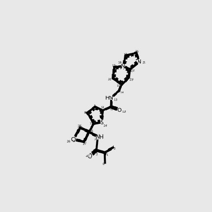 CC(C)C(=O)NC1(c2ccc(C(=O)NCc3ccn4ccnc4c3)s2)COC1